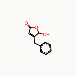 O=C1C=C(Cc2ccccc2)C(O)O1